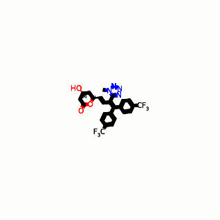 Cn1nnnc1C(C=C[C@@H]1C[C@@H](O)CC(=O)O1)=C(c1ccc(C(F)(F)F)cc1)c1ccc(C(F)(F)F)cc1